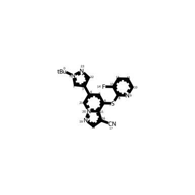 CC(C)(C)n1cc(-c2cc(Sc3ncccc3F)c3c(C#N)cnn3c2)cn1